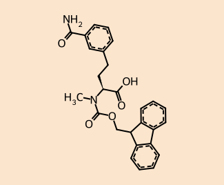 CN(C(=O)OCC1c2ccccc2-c2ccccc21)[C@@H](CCc1cccc(C(N)=O)c1)C(=O)O